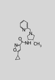 C[C@H]1CN(Cc2ccccn2)C[C@H]1NC(=O)c1cc(C2CC2)on1